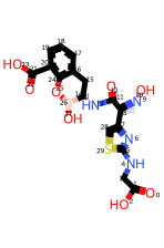 O=C(O)CNc1nc(/C(=N/O)C(=O)N[C@H]2Cc3cccc(C(=O)O)c3OB2O)cs1